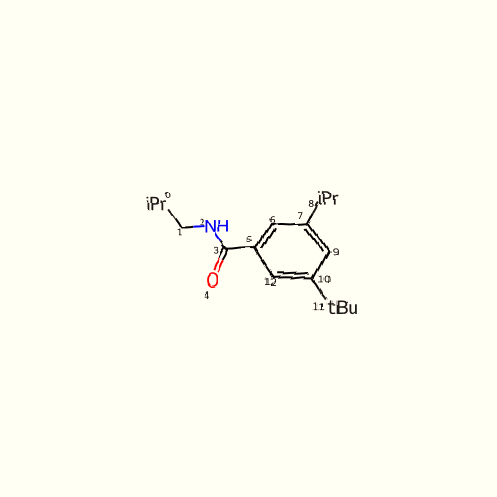 CC(C)CNC(=O)c1cc(C(C)C)cc(C(C)(C)C)c1